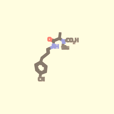 CC(C(=O)N/C=C/Cc1ccc(C#N)cc1)N(C(=O)O)C(C)(C)C